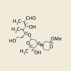 C=C(/C(O)=C(\C)C=O)[C@H](CCO)OC1C[C@@H](N2CCO[C@H](OC)C2)[C@H](O)[C@H](C)O1